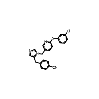 N#Cc1ccc(Cc2cncn2Cc2ccc(Sc3cccc(Cl)c3)nc2)cc1